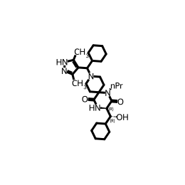 CCCN1C(=O)[C@@H]([C@H](O)C2CCCCC2)NC(=O)C12CCN(C(c1c(C)n[nH]c1C)C1CCCCC1)CC2